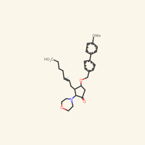 COc1ccc(-c2ccc(COC3CC(=O)C(N4CCOCC4)C3C/C=C/CCCC(=O)O)cc2)cc1